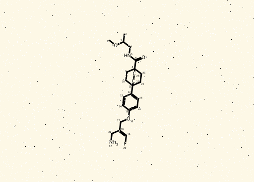 COC(C)CNC(=O)C12CCC(c3ccc(OCC(=CF)CN)cc3)(CC1)CC2